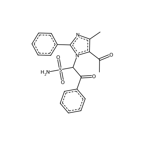 CC(=O)c1c(C)nc(-c2ccccc2)n1C(C(=O)c1ccccc1)S(N)(=O)=O